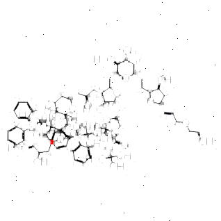 C=CCOC/C=C/[C@H]1CC(=C)C(CC[C@H]2C[C@@H](C)C(=C)[C@@H](CC3O[C@H](C[C@H]4CN(C(=O)OC(C)(C)C)C(C)(C)O4)[C@H](C)[C@H]3CC(=O)C[C@H]3CC[C@@H]4O[C@@H]5[C@@H](OC(CC(C)C=C)[C@@H]5O[Si](c5ccccc5)(c5ccccc5)C(C)(C)C)[C@@H](O[Si](c5ccccc5)(c5ccccc5)C(C)(C)C)[C@H]4O3)O2)O1